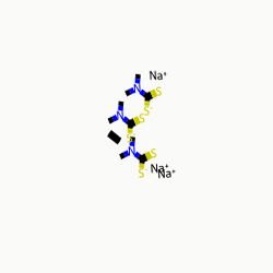 C=C.CN(C)C(=S)[S-].CN(C)C(=S)[S-].CN(C)C(=S)[S-].[Na+].[Na+].[Na+]